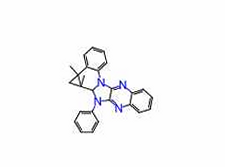 CC12CC1(C)C1N(c3ccccc3)c3nc4ccccc4nc3N1c1ccccc12